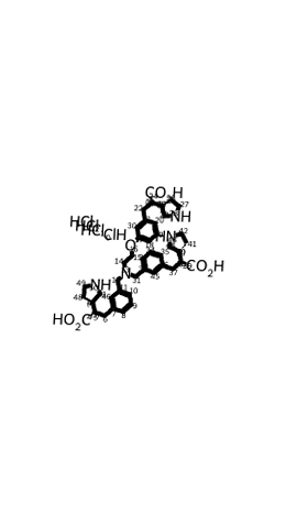 Cl.Cl.Cl.Cl.O=C(O)[C@@H](Cc1cccc(CN(CCOc2cccc(C[C@H](C(=O)O)[C@H]3CCNC3)c2)Cc2cccc(C[C@H](C(=O)O)[C@H]3CCNC3)c2)c1)[C@H]1CCNC1